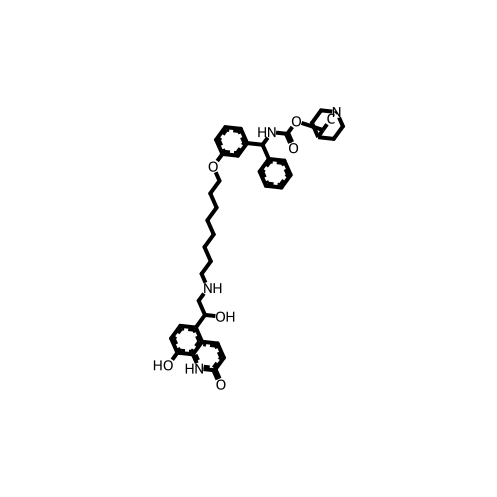 O=C(NC(c1ccccc1)c1cccc(OCCCCCCCCNCC(O)c2ccc(O)c3[nH]c(=O)ccc23)c1)OC1CN2CCC1CC2